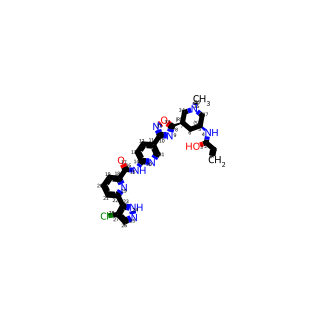 C=CC(O)N[C@H]1C[C@@H](c2nc(-c3ccc(NC(=O)c4cccc(-c5[nH]ncc5Cl)n4)nc3)no2)CN(C)C1